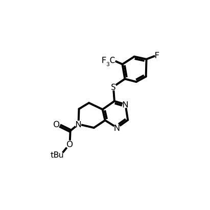 CC(C)(C)OC(=O)N1CCc2c(ncnc2Sc2ccc(F)cc2C(F)(F)F)C1